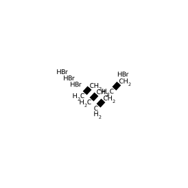 Br.Br.Br.Br.C=C.C=C.C=C.C=C